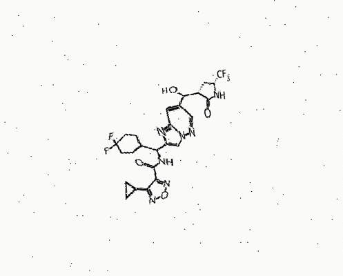 O=C(N[C@H](c1cn2ncc([C@@H](O)[C@@H]3C[C@H](C(F)(F)F)NC3=O)cc2n1)C1CCC(F)(F)CC1)c1nonc1C1CC1